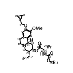 COc1cc2c(cc1OCC1CC1)CCN1C[C@@H](CC(C)C)[C@H](OC(=O)[C@@H](NC(=O)OC(C)(C)C)C(C)C)C[C@H]21